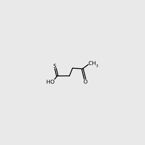 CC(=O)CCC(O)=S